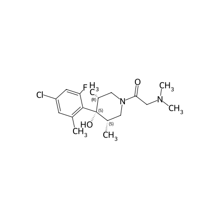 Cc1cc(Cl)cc(F)c1[C@@]1(O)[C@H](C)CN(C(=O)CN(C)C)C[C@@H]1C